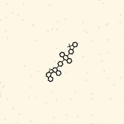 CC1(C)c2ccccc2-c2ccc(-c3c4ccccc4c(-c4ccc(-c5cc6sc7ccc8ccccc8c7c6c6ccccc56)cc4)c4ccccc34)cc21